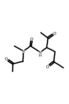 CC(=O)CC(NC(=O)N(C)CC(C)=O)C(C)=O